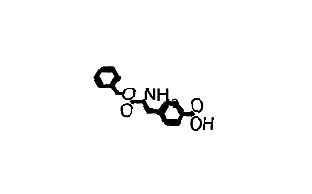 NC(Cc1ccc(C(=O)O)cc1)C(=O)OCc1ccccc1